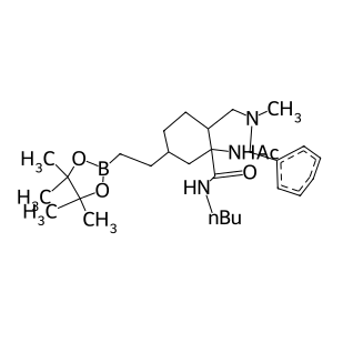 CCCCNC(=O)C1(NC(C)=O)CC(CCB2OC(C)(C)C(C)(C)O2)CCC1CN(C)Cc1ccccc1